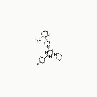 Fc1ccc(-c2nc(N3CCCCC3)nc(N3CCN(c4ncccc4C(F)(F)F)CC3)n2)cc1